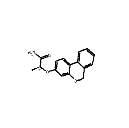 C[C@H](Oc1ccc2c(c1)OCc1ccccc1-2)C(N)=O